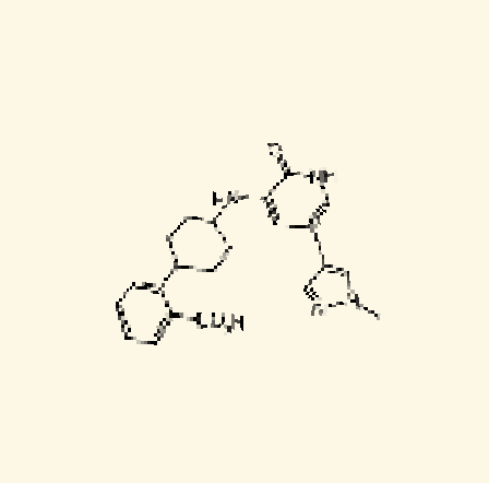 Cn1cc(-c2c[nH]c(=O)c(NC3CCC(c4ccccc4C(=O)O)CC3)c2)cn1